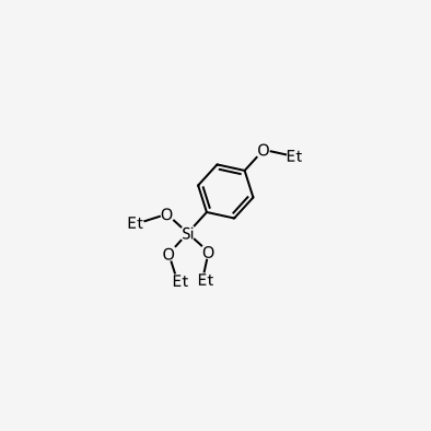 CCOc1ccc([Si](OCC)(OCC)OCC)cc1